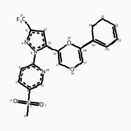 CS(=O)(=O)c1ccc(-n2nc(C(F)(F)F)cc2C2=COC=C(C3=CC=CCC3)O2)nc1